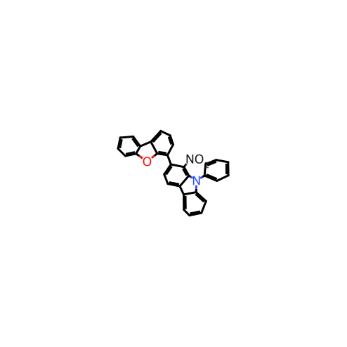 O=[N+]([O-])c1c(-c2cccc3c2oc2ccccc23)ccc2c3ccccc3n(-c3ccccc3)c12